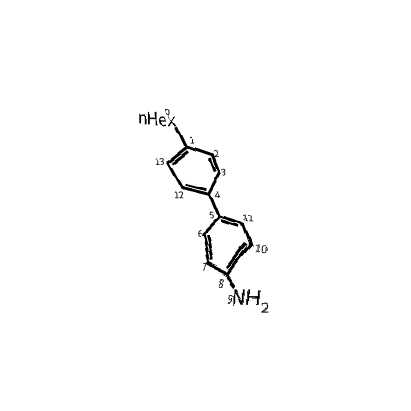 CCCCCCc1ccc(-c2ccc(N)cc2)cc1